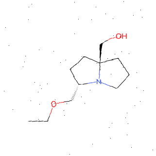 CCOC[C@@H]1CC[C@]2(CO)CCCN12